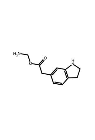 NCOC(=O)Cc1ccc2c(c1)NCC2